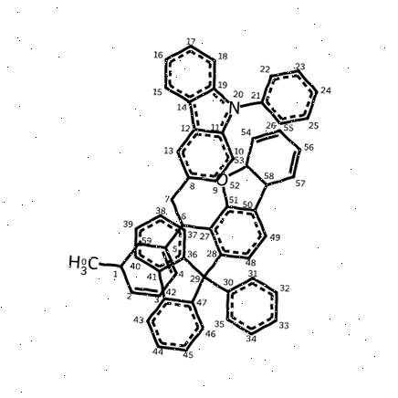 CC1C=CC=C(C(Cc2ccc3c(c2)c2ccccc2n3-c2ccccc2)c2c(C3(c4ccccc4)c4ccccc4-c4ccccc43)ccc3c2OC2C=CC=CC32)C1